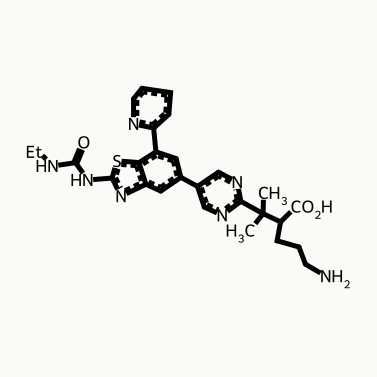 CCNC(=O)Nc1nc2cc(-c3cnc(C(C)(C)C(CCCN)C(=O)O)nc3)cc(-c3ccccn3)c2s1